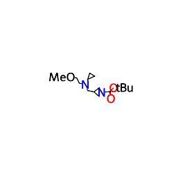 COCCN(CC1CN(C(=O)OC(C)(C)C)C1)C1CC1